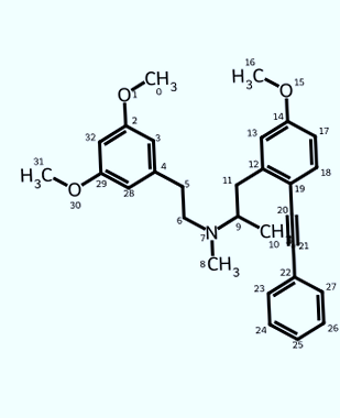 COc1cc(CCN(C)C(C)Cc2cc(OC)ccc2C#Cc2ccccc2)cc(OC)c1